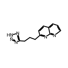 c1cnc2nc(CCCc3nn[nH]n3)ccc2c1